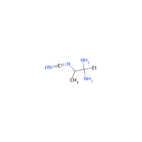 CCC(N)(N)C(C)N=C=N